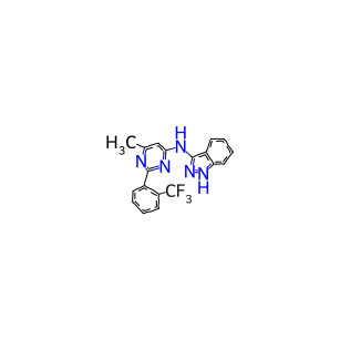 Cc1cc(Nc2n[nH]c3ccccc23)nc(-c2ccccc2C(F)(F)F)n1